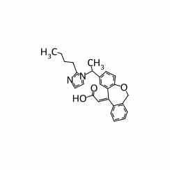 CCCCc1nccn1C(C)c1ccc2c(c1)/C(=C\C(=O)O)c1ccccc1CO2